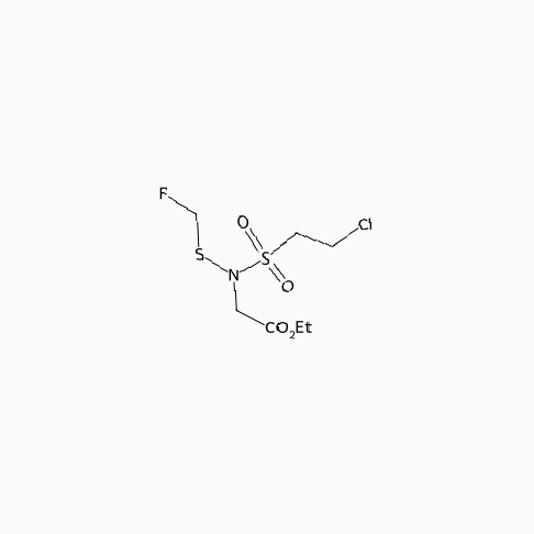 CCOC(=O)CN(SCF)S(=O)(=O)CCCl